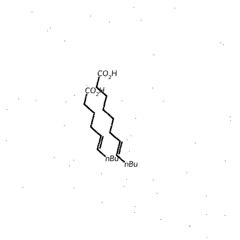 CCCCC=CCCCC(=O)O.CCCCC=CCCCCCC(=O)O